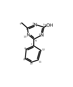 Cc1nc(O)nc(-c2ccccc2)n1